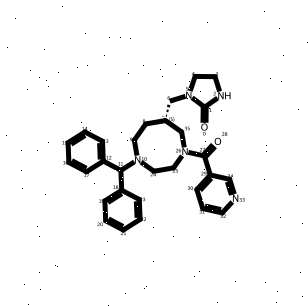 O=C1NCCN1C[C@H]1CCN(C(c2ccccc2)c2ccccc2)CCN(C(=O)c2cccnc2)C1